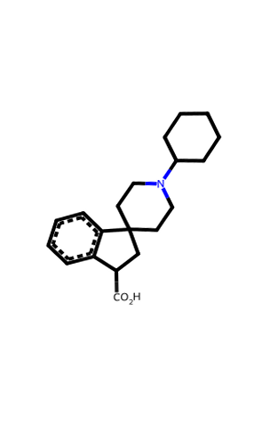 O=C(O)C1CC2(CCN(C3CCCCC3)CC2)c2ccccc21